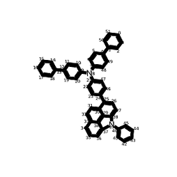 c1ccc(-c2ccc(N(c3ccc(-c4ccccc4)cc3)c3ccc(-c4ccc5c6c4ccc4cccc(c46)n5-c4ccccc4)cc3)cc2)cc1